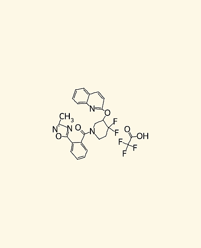 Cc1noc(-c2ccccc2C(=O)N2CCC(F)(F)C(Oc3ccc4ccccc4n3)C2)n1.O=C(O)C(F)(F)F